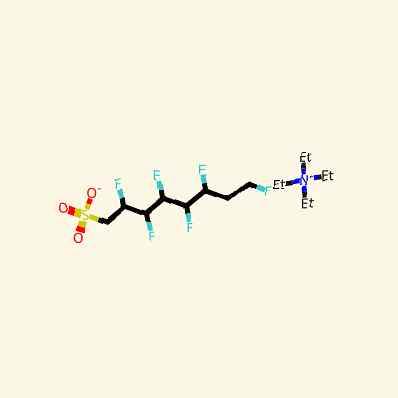 CC[N+](CC)(CC)CC.O=S(=O)([O-])CC(F)C(F)C(F)C(F)C(F)CCF